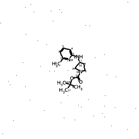 Cc1cccc(N[C@H]2CCN(C(=O)OC(C)(C)C)C2)n1